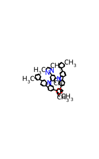 Cc1cccc(-c2ccc3c4ccc(-c5cccc(C)c5)cc4n(-c4cc(-c5nc(C)cc(C)n5)cc(-n5c6cc(-c7cccc(C)c7)ccc6c6ccc(-c7cccc(C)c7)cc65)c4C#N)c3c2)c1